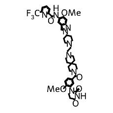 COc1cc2nn(C3CCN(CCN4CCC5(CC4)CCN(C(=O)c4ccc(OC)c(N6CCC(=O)NC6=O)c4)CC5)CC3)cc2cc1NC(=O)c1cccc(C(F)(F)F)n1